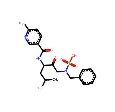 Cc1ccc(C(=O)NC(CC(C)C)C(=O)CN(Cc2ccccc2)S(=O)(=O)O)cn1